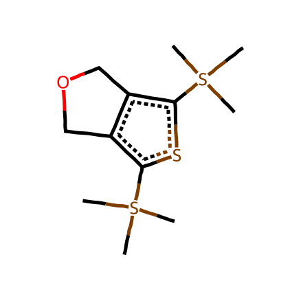 CS(C)(C)c1sc(S(C)(C)C)c2c1COC2